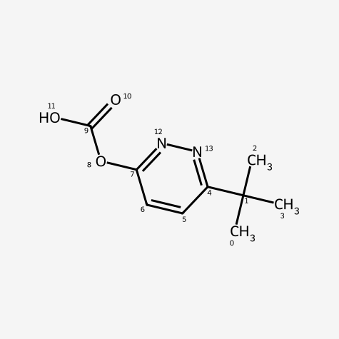 CC(C)(C)c1ccc(OC(=O)O)nn1